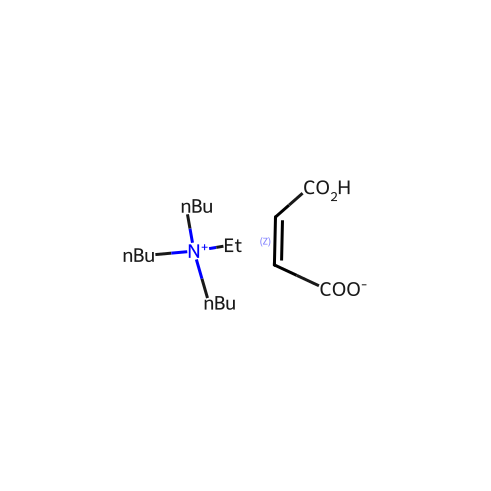 CCCC[N+](CC)(CCCC)CCCC.O=C([O-])/C=C\C(=O)O